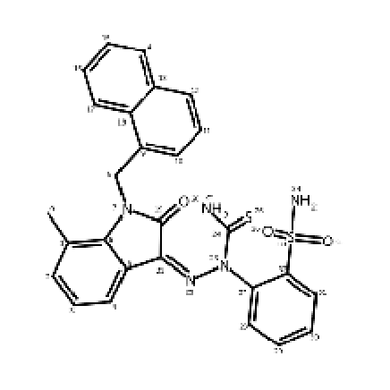 Cc1cccc2c1N(Cc1cccc3ccccc13)C(=O)/C2=N\N(C(N)=S)c1ccccc1S(N)(=O)=O